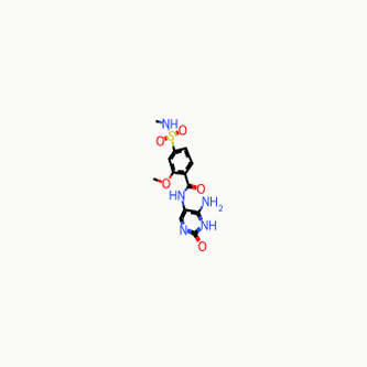 CNS(=O)(=O)c1ccc(C(=O)Nc2cnc(=O)[nH]c2N)c(OC)c1